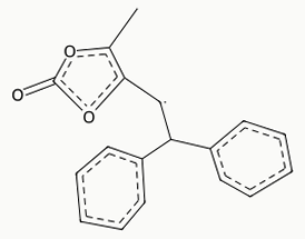 Cc1oc(=O)oc1[CH]C(c1ccccc1)c1ccccc1